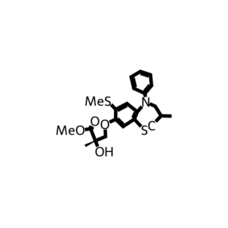 COC(=O)[C@@](C)(O)COc1cc2c(cc1SC)N(c1ccccc1)CC(C)CS2